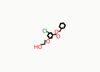 O=C(OCc1ccccc1)c1cc(Cl)cc(OCCCO)c1